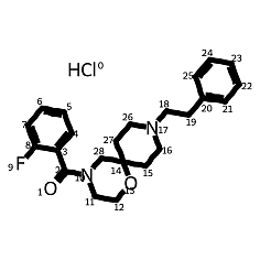 Cl.O=C(c1ccccc1F)N1CCOC2(CCN(CCc3ccccc3)CC2)C1